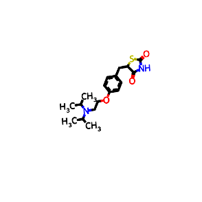 CC(C)N(CCOc1ccc(CC2SC(=O)NC2=O)cc1)C(C)C